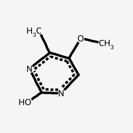 COc1cnc(O)nc1C